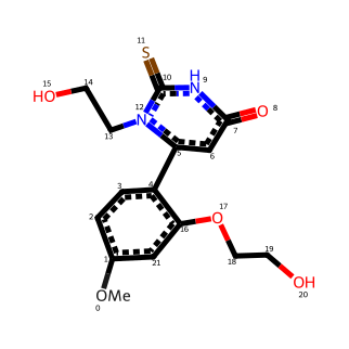 COc1ccc(-c2cc(=O)[nH]c(=S)n2CCO)c(OCCO)c1